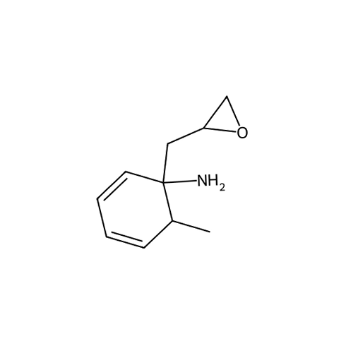 CC1C=CC=CC1(N)CC1CO1